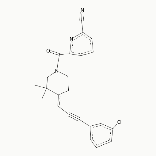 CC1(C)CN(C(=O)c2cccc(C#N)n2)CC/C1=C\C#Cc1cccc(Cl)c1